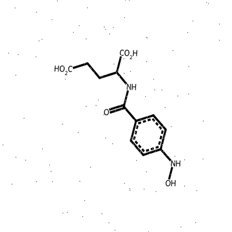 O=C(O)CCC(NC(=O)c1ccc(NO)cc1)C(=O)O